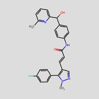 Cc1cccc(C(O)c2ccc(NC(=O)C=Cc3cnn(C)c3-c3ccc(F)cc3)cc2)n1